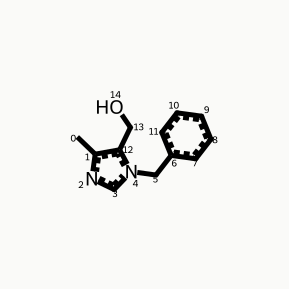 Cc1ncn(Cc2ccccc2)c1CO